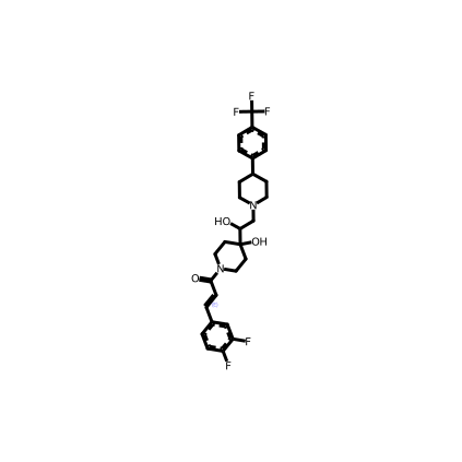 O=C(/C=C/c1ccc(F)c(F)c1)N1CCC(O)(C(O)CN2CCC(c3ccc(C(F)(F)F)cc3)CC2)CC1